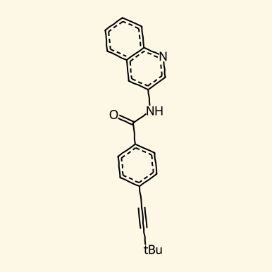 CC(C)(C)C#Cc1ccc(C(=O)Nc2cnc3ccccc3c2)cc1